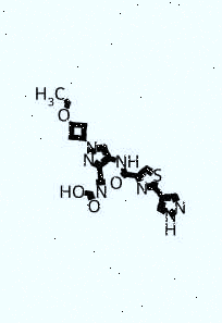 CCO[C@H]1C[C@H](n2cc(NC(=O)c3csc(-c4cn[nH]c4)n3)c(C#N)n2)C1.O=CO